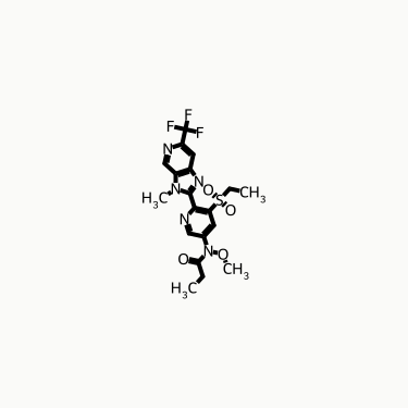 CCC(=O)N(OC)c1cnc(-c2nc3cc(C(F)(F)F)ncc3n2C)c(S(=O)(=O)CC)c1